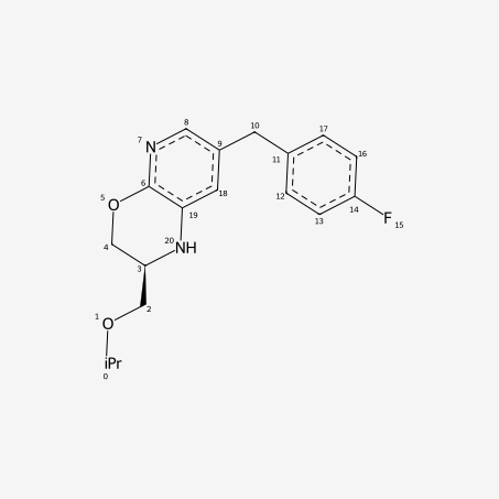 CC(C)OC[C@H]1COc2ncc(Cc3ccc(F)cc3)cc2N1